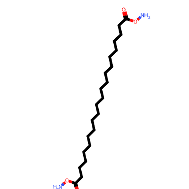 NOC(=O)CCCCCCCCCCCCCCCCCCCCC(=O)ON